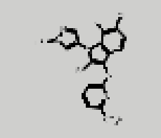 CCCn1cc(-n2c(Br)c(Sc3cccc(C(=O)O)n3)c3ccc(Cl)c(F)c32)cn1